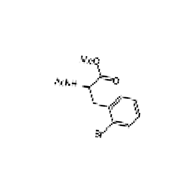 COC(=O)C(Cc1ccccc1Br)NC(C)=O